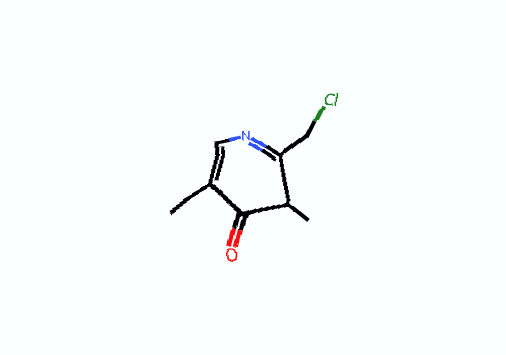 CC1=CN=C(CCl)C(C)C1=O